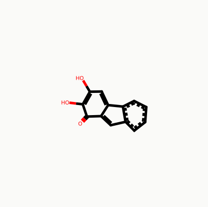 O=C1C2=Cc3ccccc3C2=CC(O)=C1O